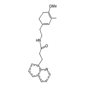 COC1=C(C)C=C(CCNC(=O)CCc2cccc3cccnc23)CC1